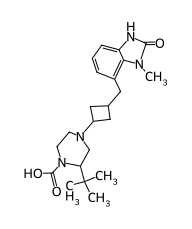 Cn1c(=O)[nH]c2cccc(CC3CC(N4CCN(C(=O)O)C(C(C)(C)C)C4)C3)c21